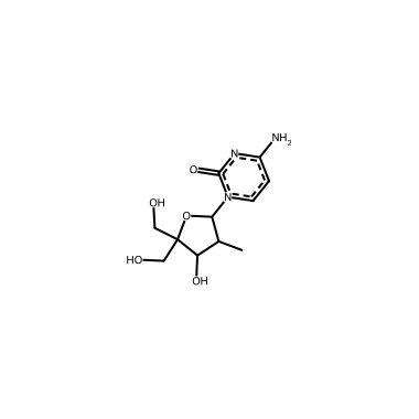 CC1C(n2ccc(N)nc2=O)OC(CO)(CO)C1O